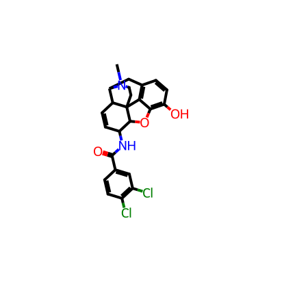 CN1CCC23c4c5ccc(O)c4OC2C(NC(=O)c2ccc(Cl)c(Cl)c2)C=CC3C1C5